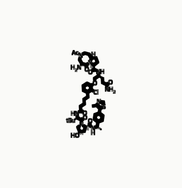 CC(=O)N1CC[C@H]2CC[C@@H](C(=O)N[C@@H](CCC(N)=O)COc3cccc(CCCCC(=O)N[C@H](C(=O)N4C[C@H](O)C[C@H]4C(=O)N[C@@H](C)c4ccc(-c5scnc5C)cc4)C(C)(C)C)c3Cl)N2C(=O)[C@@H](N)C1